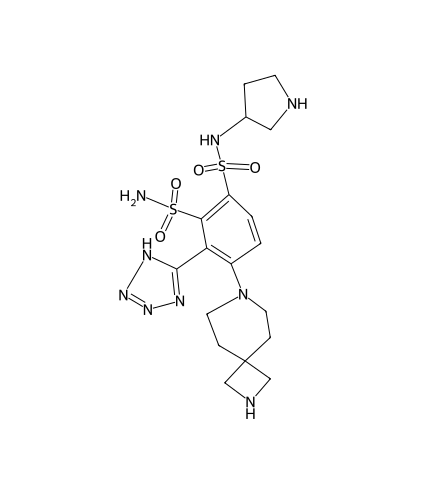 NS(=O)(=O)c1c(S(=O)(=O)NC2CCNC2)ccc(N2CCC3(CC2)CNC3)c1-c1nnn[nH]1